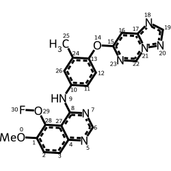 COc1ccc2ncnc(Nc3ccc(Oc4cc5ncnn5cn4)c(C)c3)c2c1OF